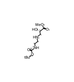 COC(=O)[C@@H](O)CNCCNC(=O)OC(C)(C)C